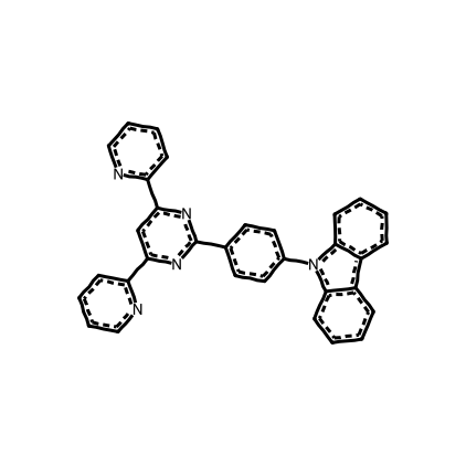 c1ccc(-c2cc(-c3ccccn3)nc(-c3ccc(-n4c5ccccc5c5ccccc54)cc3)n2)nc1